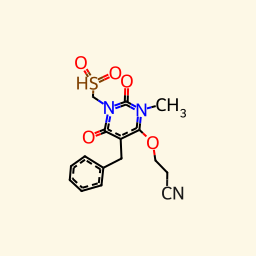 Cn1c(OCCC#N)c(Cc2ccccc2)c(=O)n(C[SH](=O)=O)c1=O